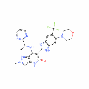 C[C@H](Nc1c(-c2nc3cc(C(F)(F)F)c(N4CCOCC4)cc3[nH]2)c(=O)[nH]c2cn(C)nc12)c1ncccn1